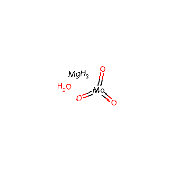 O.[MgH2].[O]=[Mo](=[O])=[O]